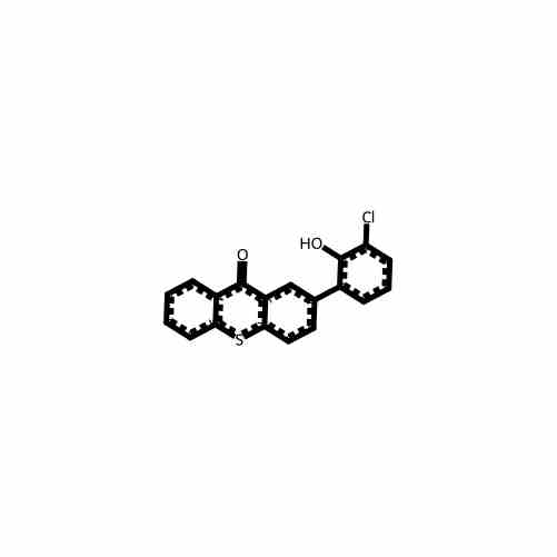 O=c1c2ccccc2sc2ccc(-c3cccc(Cl)c3O)cc12